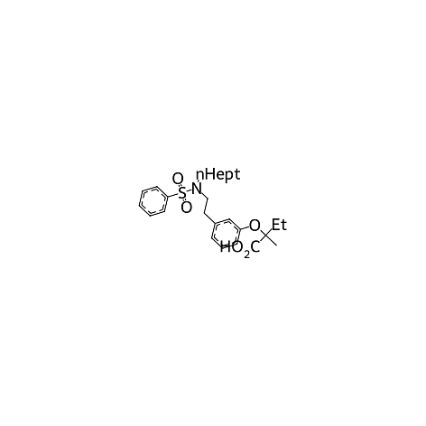 CCCCCCCN(CCc1cccc(OC(C)(CC)C(=O)O)c1)S(=O)(=O)c1ccccc1